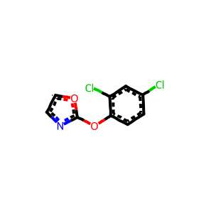 Clc1ccc(Oc2nc[c]o2)c(Cl)c1